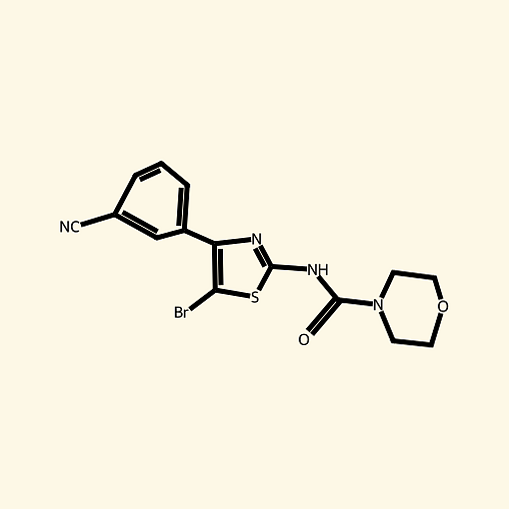 N#Cc1cccc(-c2nc(NC(=O)N3CCOCC3)sc2Br)c1